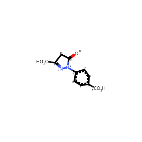 O=C(O)C1=NN(c2ccc(C(=O)O)cc2)C(=O)C1